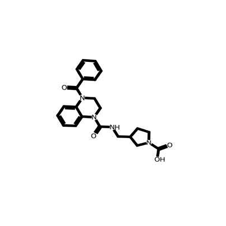 O=C(O)N1CCC(CNC(=O)N2CCN(C(=O)c3ccccc3)c3ccccc32)C1